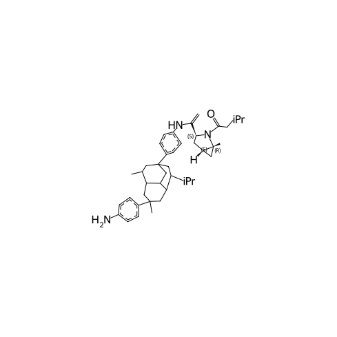 C=C(Nc1ccc(C23CC(C)C4CC(C)(c5ccc(N)cc5)CC(C(C(C)C)C2)C4C3)cc1)[C@@H]1C[C@H]2C[C@@]2(C)N1C(=O)CC(C)C